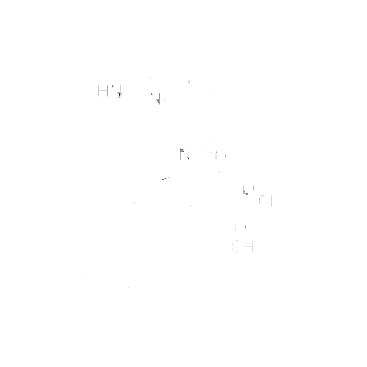 COc1ccc([C@@H](CCCCCc2ccccc2)N2Cc3c(cccc3N3CCNCC3)C2=O)cc1OC